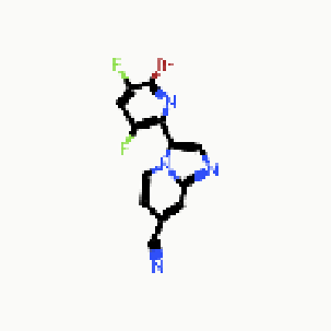 N#Cc1ccn2c(-c3nc(Br)c(F)cc3F)cnc2c1